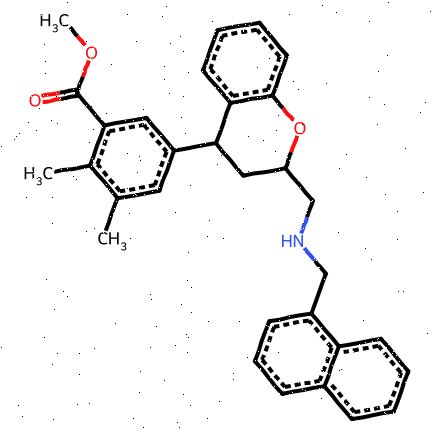 COC(=O)c1cc(C2CC(CNCc3cccc4ccccc34)Oc3ccccc32)cc(C)c1C